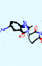 Cc1nc2ccc(N)cc2c(=O)n1[C@H]1CCC(=O)NC1=O